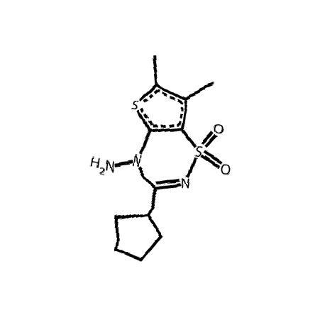 Cc1sc2c(c1C)S(=O)(=O)N=C(C1CCCC1)N2N